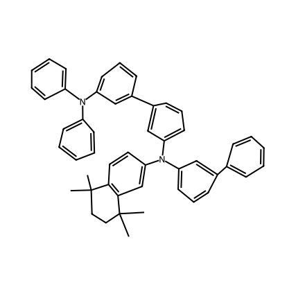 CC1(C)CCC(C)(C)c2cc(N(c3cccc(-c4ccccc4)c3)c3cccc(-c4cccc(N(c5ccccc5)c5ccccc5)c4)c3)ccc21